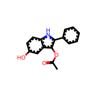 CC(=O)Oc1c(-c2ccccc2)[nH]c2ccc(O)cc12